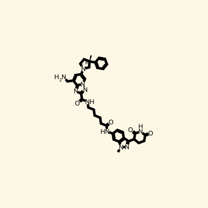 Cn1nc(C2CCC(=O)NC2=O)c2ccc(NC(=O)CCCCCNC(=O)c3nc4c(CN)cc(N5CC[C@](C)(c6ccccc6)C5)cn4n3)cc21